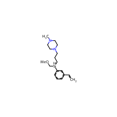 C=Cc1cccc([SiH](CCCN2CCN(C)CC2)COC)c1